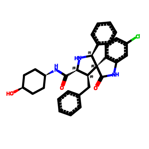 O=C(N[C@H]1CC[C@H](O)CC1)[C@@H]1N[C@@H](c2ccccc2)[C@@]2(C(=O)Nc3cc(Cl)ccc32)[C@H]1Cc1ccccc1